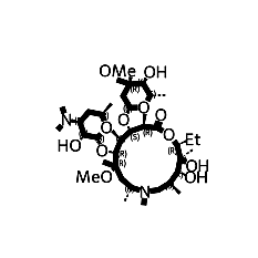 CC[C@H]1OC(=O)[C@H](C)[C@@H](O[C@H]2C[C@@](C)(OC)[C@@H](O)[C@H](C)O2)[C@H](C)[C@@H](O[C@@H]2O[C@H](C)C[C@H](N(C)C)[C@H]2O)[C@](C)(OC)C[C@@H](C)N(C)C[C@H](C)[C@@H](O)[C@]1(C)O